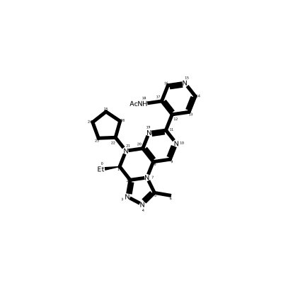 CC[C@@H]1c2nnc(C)n2-c2cnc(-c3ccncc3NC(C)=O)nc2N1C1CCCC1